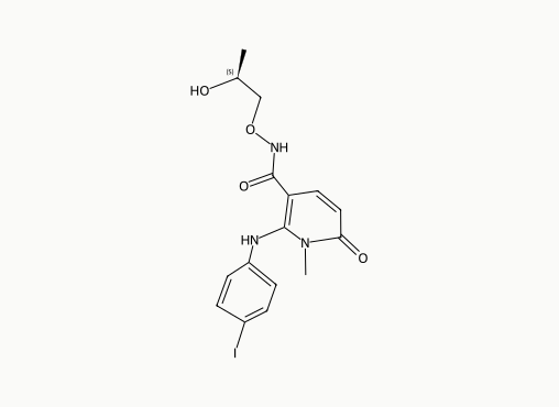 C[C@H](O)CONC(=O)c1ccc(=O)n(C)c1Nc1ccc(I)cc1